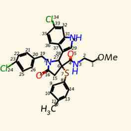 COCCNC(=O)C1(Sc2ccc(C)cc2)CC(=O)N(Cc2ccc(Cl)cc2)C1c1c[nH]c2cc(Cl)ccc12